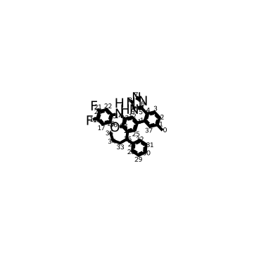 Cc1ccc(-c2nnn[nH]2)c(-c2cc(Nc3ccc(F)c(F)c3)c3c(c2)C(c2ccccc2)CCCO3)c1